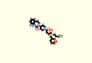 CC(C)CCN1C(=O)C(CC(=O)N2CCC(N3CCc4ccccc4NC3=O)CC2)SC1C1CCCOC1